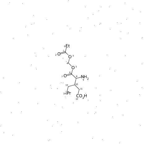 CCC(=O)OCOC(=O)C(N)C(CC(=O)O)CC(C)C